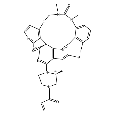 C=CC(=O)N1CCN(c2nc(=O)n3c4nc(c(F)cc24)-c2c(F)cccc2N(C)C(=O)N(C)CCc2ccnc(C(C)C)c2-3)[C@@H](C)C1